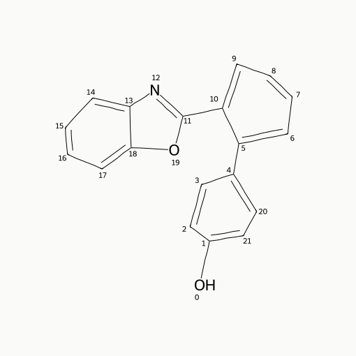 Oc1ccc(-c2ccccc2-c2nc3ccccc3o2)cc1